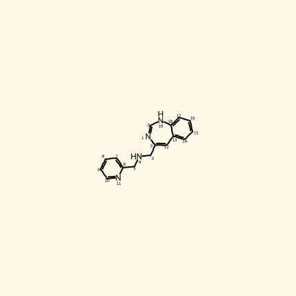 C1=NC(CNCc2ccccn2)=Cc2ccccc2N1